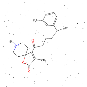 CCCC(CCCC(=O)C1=C(C)C(=O)OC12CCN(CC)CC2)c1cccc(C(F)(F)F)c1